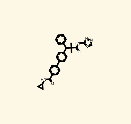 CC(C)(C(=O)Nc1nncs1)C(c1ccccc1)c1ccc(-c2ccc(C(=O)NC3CC3)cc2)cc1